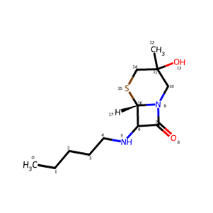 CCCCCNC1C(=O)N2CC(C)(O)CS[C@@H]12